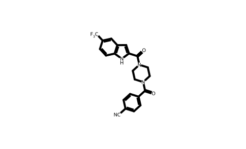 N#Cc1ccc(C(=O)N2CCN(C(=O)c3cc4cc(C(F)(F)F)ccc4[nH]3)CC2)cc1